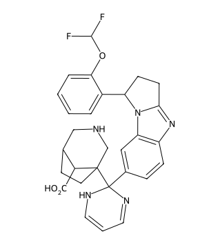 O=C(O)C1C2CCC1(C1(c3ccc4nc5n(c4c3)C(c3ccccc3OC(F)F)CC5)N=CC=CN1)CNC2